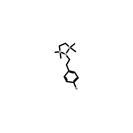 C[Si]1(C)CC[Si](C)(C)N1CCc1ccc(Br)cc1